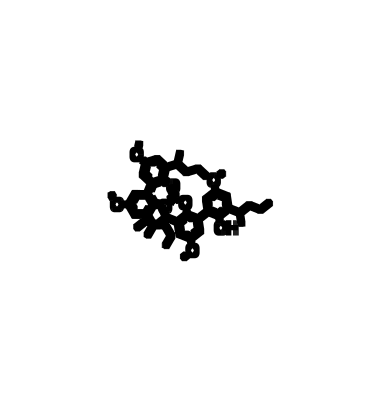 CCCC(C)c1cc(OC)cc(-c2cc(OC)cc(C(C)CCC)c2Op2oc3c(C(C)CCC)cc(OC)cc3c3cc(OC)cc(C(C)CCC)c3o2)c1O